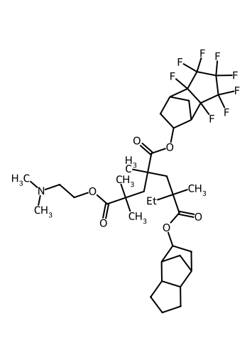 CCC(C)(CC(C)(CC(C)(C)C(=O)OCCN(C)C)C(=O)OC1CC2CC1C1(F)C(F)(F)C(F)(F)C(F)(F)C21F)C(=O)OC1CC2CC1C1CCCC21